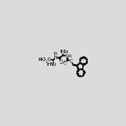 CCCC[C@H](NC(=O)[C@@H](NC(=O)OCC1c2ccccc2-c2ccccc21)C(C)(C)C)C(=O)O